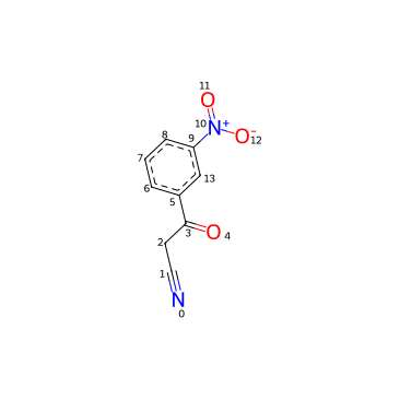 N#CCC(=O)c1cccc([N+](=O)[O-])c1